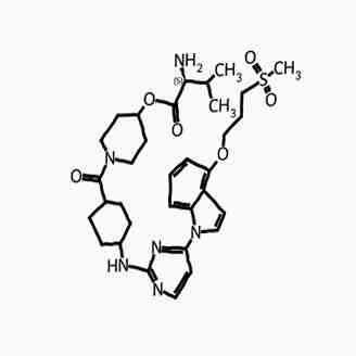 CC(C)[C@H](N)C(=O)OC1CCN(C(=O)C2CCC(Nc3nccc(-n4ccc5c(OCCCS(C)(=O)=O)cccc54)n3)CC2)CC1